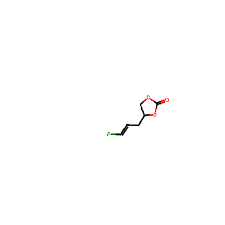 O=C1OCC(CC=CF)O1